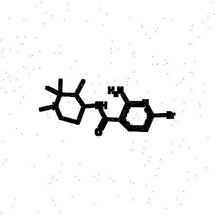 CC1C(NC(=O)c2ccc(Br)nc2N)CCN(C)C1(C)C